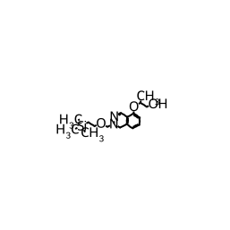 CC(CO)Oc1cccc2c1C=NN(COCC[Si](C)(C)C)C2